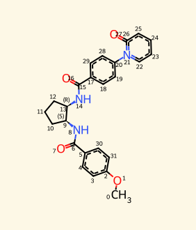 COc1ccc(C(=O)N[C@H]2CCC[C@H]2NC(=O)c2ccc(-n3ccccc3=O)cc2)cc1